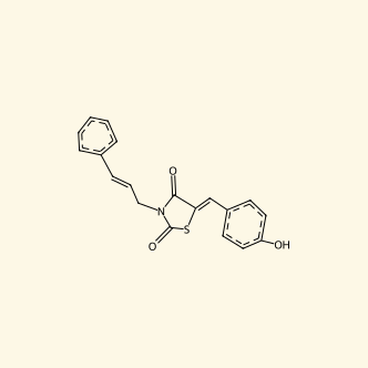 O=C1S/C(=C\c2ccc(O)cc2)C(=O)N1C/C=C/c1ccccc1